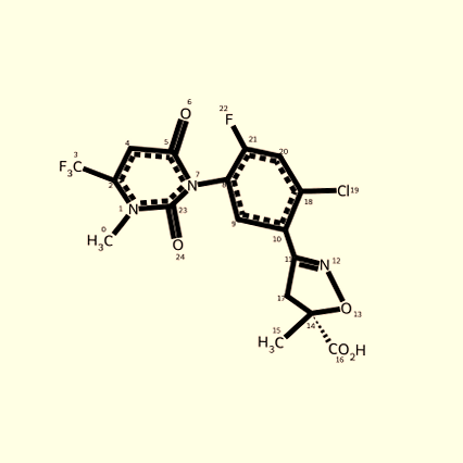 Cn1c(C(F)(F)F)cc(=O)n(-c2cc(C3=NO[C@](C)(C(=O)O)C3)c(Cl)cc2F)c1=O